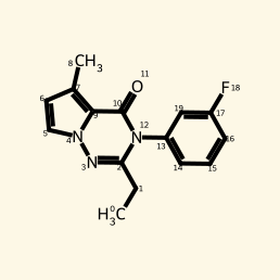 CCc1nn2ccc(C)c2c(=O)n1-c1cccc(F)c1